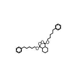 O=C(OCCCCCc1ccccc1)C1CCCCC1C(=O)OCCCCCc1ccccc1